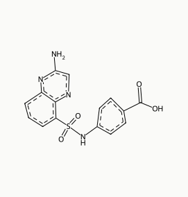 Nc1cnc2c(S(=O)(=O)Nc3ccc(C(=O)O)cc3)cccc2n1